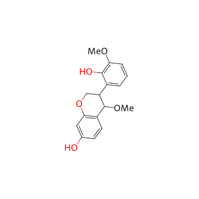 COc1cccc(C2COc3cc(O)ccc3C2OC)c1O